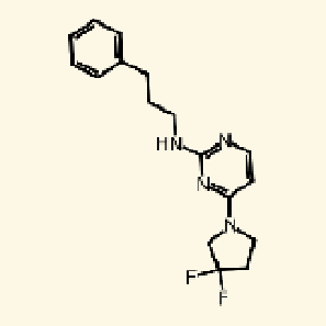 FC1(F)CCN(c2ccnc(NCCCc3ccccc3)n2)C1